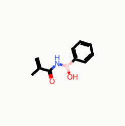 C=C(C)C(=O)NB(O)c1ccccc1